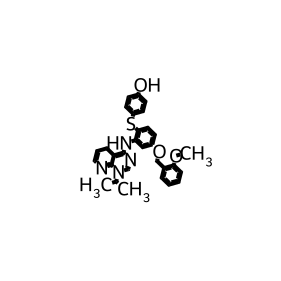 COc1ccccc1COc1ccc(Sc2ccc(O)cc2)c(NC2=C3CC=CN=C3N(C(C)C)C=N2)c1